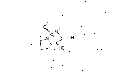 CO[C@@H]([C@H](C)C(=O)O)N1CCCC1.Cl